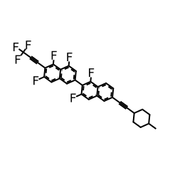 CC1CCC(C#Cc2ccc3c(F)c(-c4cc(F)c5c(F)c(C#CC(F)(F)F)c(F)cc5c4)c(F)cc3c2)CC1